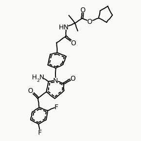 CC(C)(NC(=O)Cc1ccc(-n2c(N)c(C(=O)c3ccc(F)cc3F)ccc2=O)cc1)C(=O)OC1CCCC1